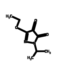 CCOC1=NN(C(C)C)C(=O)C1=O